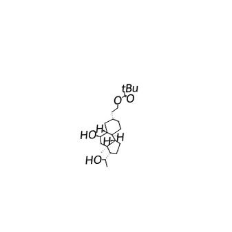 CC(O)[C@H]1CC[C@H]2[C@@H]3CC[C@@H](CCOC(=O)C(C)(C)C)C[C@H]3[C@H](O)C[C@]12C